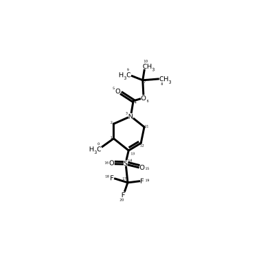 CC1CN(C(=O)OC(C)(C)C)CC=C1S(=O)(=O)C(F)(F)F